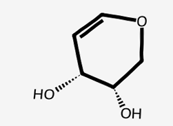 O[C@@H]1C=COC[C@@H]1O